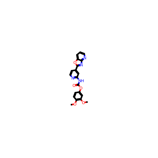 COc1ccc(OC(=O)Nc2cc(-c3nc4ncccc4o3)ccn2)cc1OC